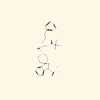 CN(C)C(=O)C1CC2(CCN(C(=O)[C@@H](CCCc3ccccc3)NC(=O)C(C)(C)N)CC2)c2ccccc21